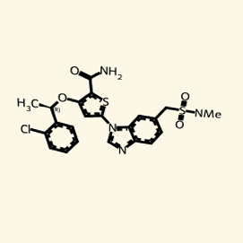 CNS(=O)(=O)Cc1ccc2ncn(-c3cc(O[C@H](C)c4ccccc4Cl)c(C(N)=O)s3)c2c1